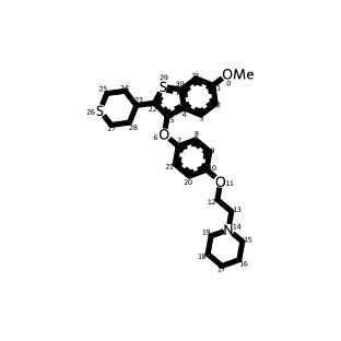 COc1ccc2c(Oc3ccc(OCCN4CCCCC4)cc3)c(C3CCSCC3)sc2c1